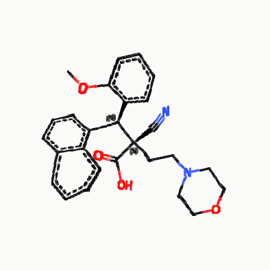 COc1ccccc1[C@H](c1cccc2ccccc12)[C@](C#N)(CCN1CCOCC1)C(=O)O